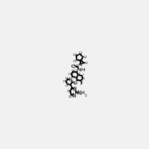 Cc1ccc2c(NC(=O)[C@H]3CC34CCCC4)cccc2c1Oc1ncccc1-c1ccnc(N)n1